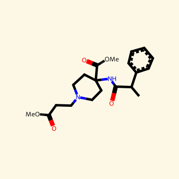 COC(=O)CCN1CCC(NC(=O)C(C)c2ccccc2)(C(=O)OC)CC1